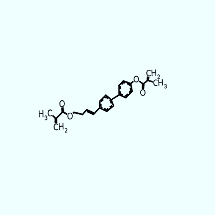 C=C(C)C(=O)OCC/C=C/c1ccc(-c2ccc(OC(=O)C(=C)C)cc2)cc1